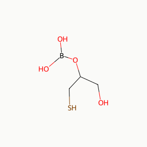 OCC(CS)OB(O)O